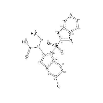 CCC(C(=O)O)c1cc2cc(Cl)ccc2n1S(=O)(=O)c1nc2ccccc2s1